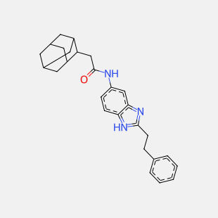 O=C(CC1C2CC3CC(C2)CC1C3)Nc1ccc2[nH]c(CCc3ccccc3)nc2c1